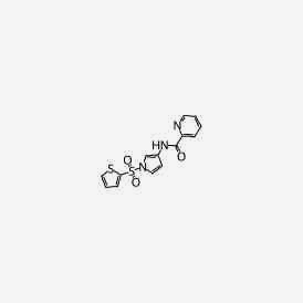 O=C(Nc1ccn(S(=O)(=O)c2cccs2)c1)c1ccccn1